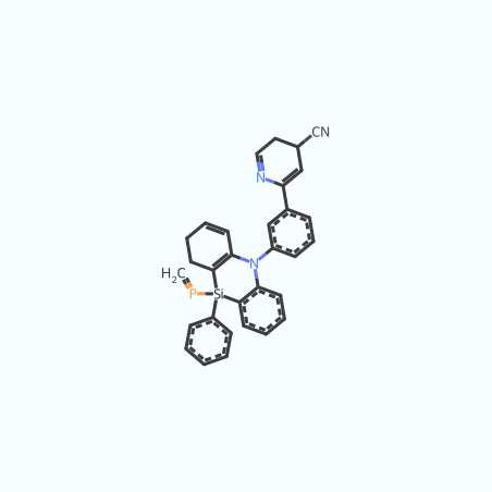 C=P[Si]1(c2ccccc2)C2=C(C=CCC2)N(c2cccc(C3=CC(C#N)CC=N3)c2)c2ccccc21